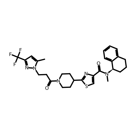 Cc1cc(C(F)(F)F)nn1CCC(=O)N1CCC(c2nc(C(=O)N(C)[C@@H]3CCCc4ccccc43)cs2)CC1